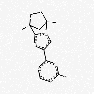 Cc1cccc(-c2cn3c(n2)[C@@H]2CC[C@H]3C2)n1